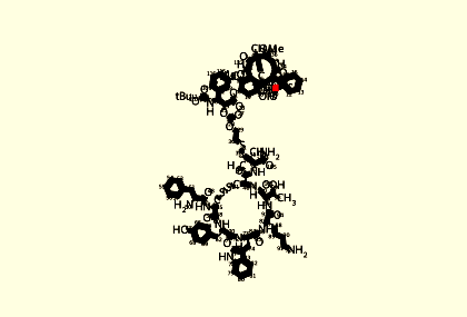 CO[C@H]1C(=O)[C@@]2(C)C[C@H](OC(=O)c3ccccc3)[C@]3(O)C[C@H](OC(=O)[C@H](OC(=O)OCCSSC(C)(C)[C@H](NC(=O)[C@@H]4CSSC[C@H](NC(=O)[C@H](N)Cc5ccccc5)C(=O)N[C@@H](Cc5ccc(O)cc5)C(=O)N[C@H](Cc5c[nH]c6ccccc56)C(=O)N[C@@H](CCCCN)C(=O)N[C@@H]([C@@H](C)O)C(=O)N4)C(N)=O)[C@@H](NC(=O)OC(C)(C)C)c4ccccc4)C(C)=C1C3(C)C[C@]1(OC(C)=O)CO[C@@H]1C[C@@H]2OC